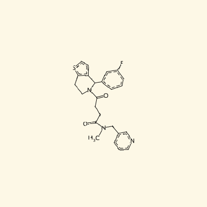 CN(Cc1cccnc1)C(=O)CCC(=O)N1CCc2sccc2C1c1cccc(F)c1